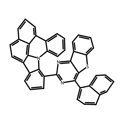 c1ccc2c(-c3nc(-c4cccc5c6ccc7cccc8c9ccccc9n(c45)c6c78)nc4c3sc3ccccc34)cccc2c1